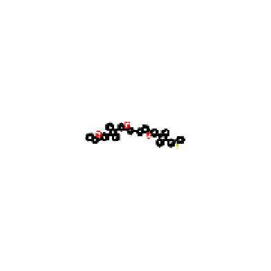 c1ccc2c(c1)ccc1c3ccc(-c4c5ccccc5c(-c5ccc6oc7cc(-c8ccc9c(ccc%10c%11ccc(-c%12c%13ccccc%13c(-c%13ccc%14sc%15ccccc%15c%14c%13)c%13ccccc%12%13)cc%11oc9%10)c8)ccc7c6c5)c5ccccc45)cc3oc21